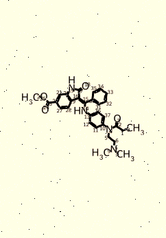 CCC(=O)N(CCN(C)C)c1ccc(NC(=C2C(=O)Nc3cc(C(=O)OC)ccc32)c2ccccc2)cc1